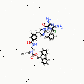 CCCCCCN(CCNC(=O)c1ccc(CC(CNC(=O)c2nc(Cl)c(N)nc2N)CN(Cc2ccccc2)C(=O)O)c(C)c1)C(=O)OCC1c2ccccc2-c2ccccc21